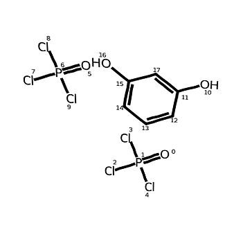 O=P(Cl)(Cl)Cl.O=P(Cl)(Cl)Cl.Oc1cccc(O)c1